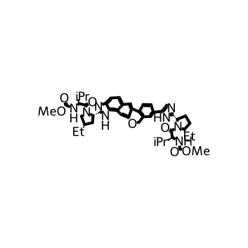 CC[C@H]1C[C@@H](c2nc3ccc4cc5c(cc4c3[nH]2)OCc2cc(-c3cnc([C@@H]4CC[C@H](CC)N4C(=O)[C@@H](NC(=O)OC)C(C)C)[nH]3)ccc2-5)N(C(=O)[C@@H](NC(=O)OC)C(C)C)C1